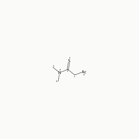 CC(=O)CC(=S)N(C)C